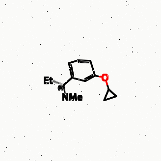 CC[C@@H](NC)c1cccc(OC2CC2)c1